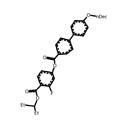 CCCCCCCCCCOc1ccc(-c2ccc(C(=O)Oc3ccc(C(=O)OC(CC)CC)c(F)c3)cc2)cc1